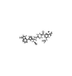 CNCc1cc(C(=O)N2CCN([C@H]3C[C@](CC#N)(n4cc(-c5ncnc6[nH]ccc56)cn4)C3)CC2)nc(C(F)(F)F)c1